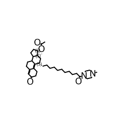 CC(=O)O[C@H]1CCC2C3CCC4=CC(=O)CCC4=C3[C@@H](CCCCCCCCCCC(=O)N3CCN(C)CC3)C[C@@]21C